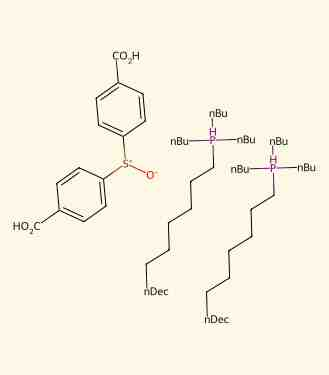 CCCCCCCCCCCCCCCC[PH](CCCC)(CCCC)CCCC.CCCCCCCCCCCCCCCC[PH](CCCC)(CCCC)CCCC.O=C(O)c1ccc([S+]([O-])c2ccc(C(=O)O)cc2)cc1